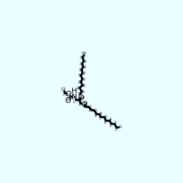 CCCCCCCCCCCCCCOCC(CNC(=O)OCC)OCCCCCCCCCCCCCC